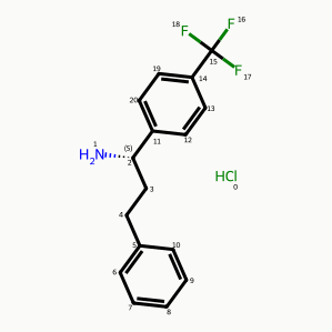 Cl.N[C@@H](CCc1ccccc1)c1ccc(C(F)(F)F)cc1